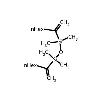 C=C(CCCCCC)[Si](C)(C)O[Si](C)(C)C(=C)CCCCCC